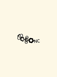 [C-]#[N+]c1ccc(S(=O)(=O)N2CCC3(C2)OCCO3)cc1